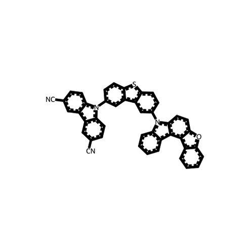 N#Cc1ccc2c(c1)c1cc(C#N)ccc1n2-c1ccc2sc3ccc(-n4c5ccccc5c5c6c(ccc54)oc4ccccc46)cc3c2c1